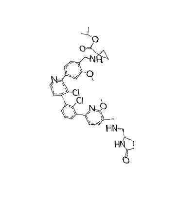 COc1cc(-c2nccc(-c3cccc(-c4ccc(CNC[C@H]5CCC(=O)N5)c(OC)n4)c3Cl)c2Cl)ccc1CNC1(C(=O)OC(C)C)CC1